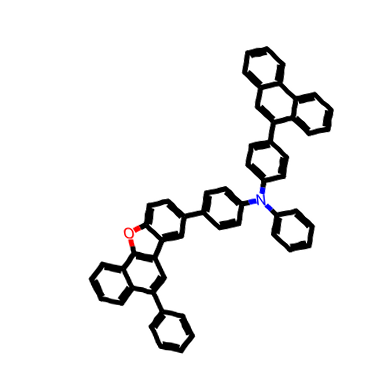 c1ccc(-c2cc3c4cc(-c5ccc(N(c6ccccc6)c6ccc(-c7cc8ccccc8c8ccccc78)cc6)cc5)ccc4oc3c3ccccc23)cc1